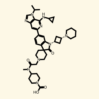 CC(C)n1cnc2cc(-c3ccc4c(c3)N([C@H]3C[C@@H](N5CCCCC5)C3)C(=O)C43CCN(CC(=O)N(C)C4CCN(C(=O)O)CC4)CC3)nc(NC3CC3)c21